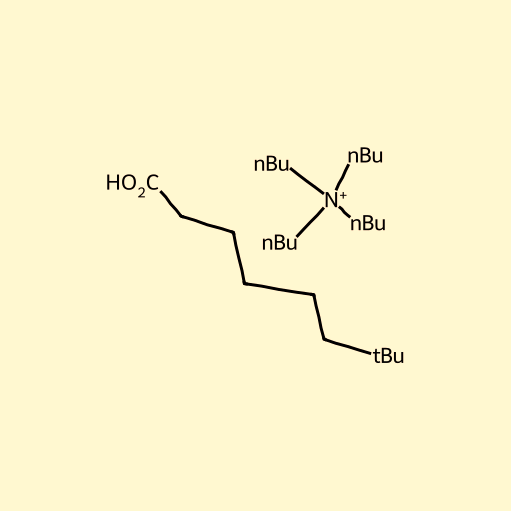 CC(C)(C)CCCCCC(=O)O.CCCC[N+](CCCC)(CCCC)CCCC